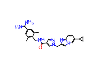 Cc1cc(C(=N)N)cc(C)c1CNC(=O)c1cnn(Cc2cn3cc(C4CC4)ccc3n2)c1